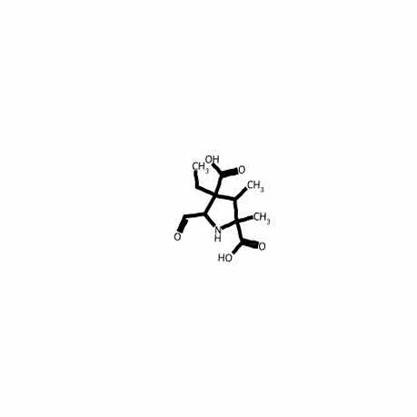 CCC1(C(=O)O)C(C=O)NC(C)(C(=O)O)C1C